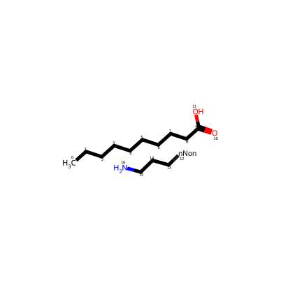 CCCCCCCCCC(=O)O.CCCCCCCCCCCCN